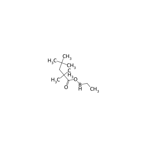 CCBOC(=O)C(C)(C)CC(C)(C)C